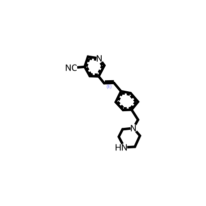 N#Cc1cncc(/C=C/c2ccc(CN3CCNCC3)cc2)c1